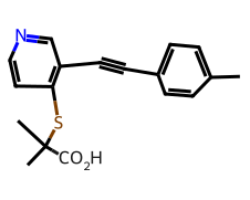 Cc1ccc(C#Cc2cnccc2SC(C)(C)C(=O)O)cc1